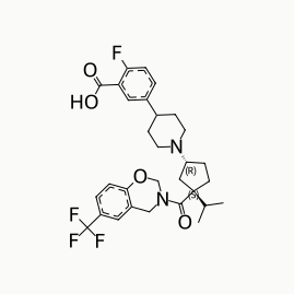 CC(C)[C@]1(C(=O)N2COc3ccc(C(F)(F)F)cc3C2)CC[C@@H](N2CCC(c3ccc(F)c(C(=O)O)c3)CC2)C1